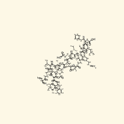 CCCC[C@H](NC(=O)[C@H](CCC(N)=O)NC(=O)[C@H](CCCCN)NC(=O)[C@@H](C)NC(=O)[C@H](CC(C)C)NC(=O)[C@H](CC(=O)O)NCc1ccccc1)C(=O)N[C@@H](CCC(=O)O)C(=O)N[C@@H](CCC(=O)O)C(=O)N[C@@H](CCC(=O)O)C(=O)N[C@@H](C)C(=O)N[C@H](C(=O)N[C@H](CCCNC(=N)N)C(=O)N[C@@H](CC(C)C)C(=O)N[C@@H](Cc1ccccc1)C(=O)N[C@H](C)[C@@H](C)CC)C(C)C